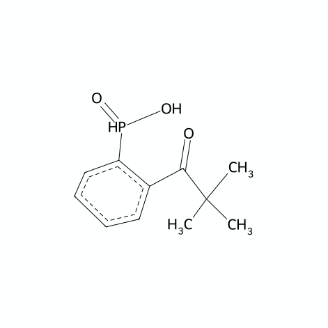 CC(C)(C)C(=O)c1ccccc1[PH](=O)O